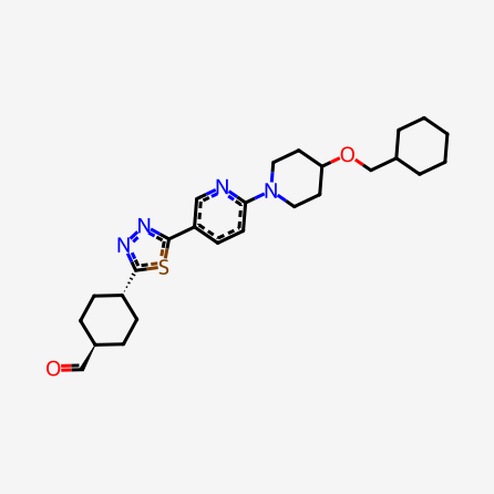 O=C[C@H]1CC[C@H](c2nnc(-c3ccc(N4CCC(OCC5CCCCC5)CC4)nc3)s2)CC1